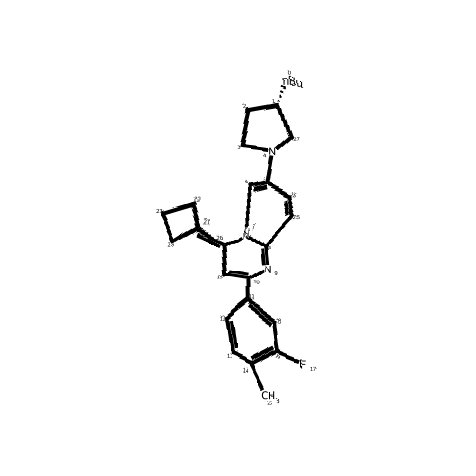 CCCC[C@H]1CCN(C2=CN3C(=NC(c4ccc(C)c(F)c4)=CC3=C3CCC3)C=C2)C1